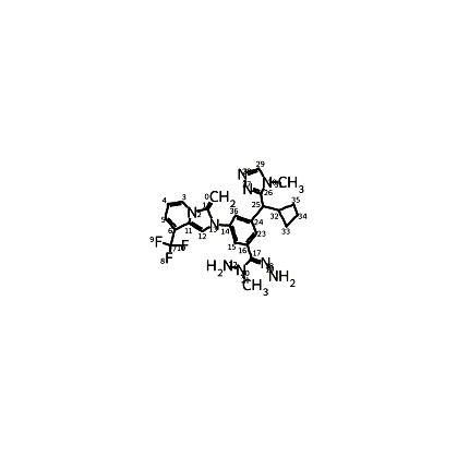 C=C1N2C=CC=C(C(F)(F)F)C2=CN1c1cc(/C(=N/N)N(C)N)cc(C(c2nncn2C)C2CCC2)c1